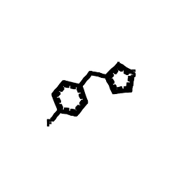 Fc1ccc(Cc2[c]scc2)cc1